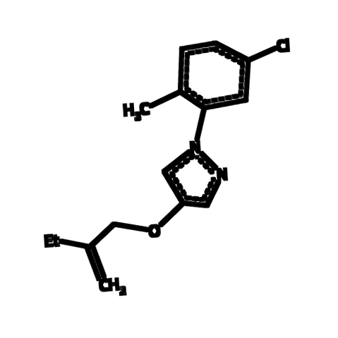 C=C(CC)COc1cnn(-c2cc(Cl)ccc2C)c1